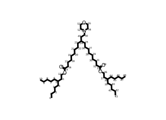 CCCCCC(CCCCC)CCOC(=O)CCCCCCCCC(CCCCCCCCC(=O)OCCC(CCCCC)CCCCC)CCN1CCOCC1